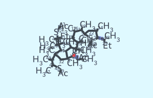 C/C=C(\C)C(C)(CC(C)C(C)(SC(C)=O)C(C)CC(C)C(C)C(C)(CC(C)/C(C)=C(\C)CC)SC(C)=O)CC(C)(CC(C)(C)C(C)(CC)SC(C)=O)C(C)C(C)SC(C)=O